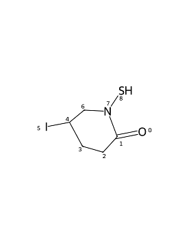 O=C1CCC(I)CN1S